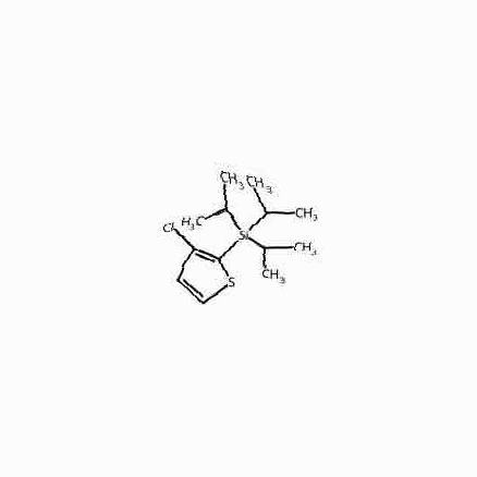 CC(C)[Si](c1sccc1Cl)(C(C)C)C(C)C